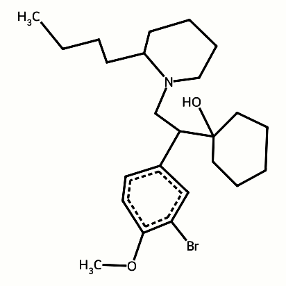 CCCCC1CCCCN1CC(c1ccc(OC)c(Br)c1)C1(O)CCCCC1